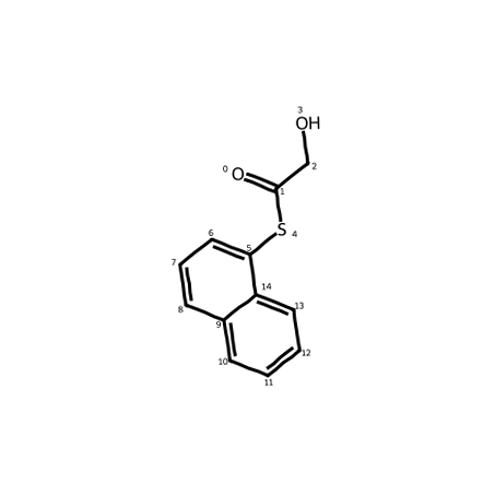 O=C(CO)Sc1cccc2ccccc12